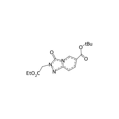 CCOC(=O)Cn1nc2ccc(C(=O)OC(C)(C)C)cn2c1=O